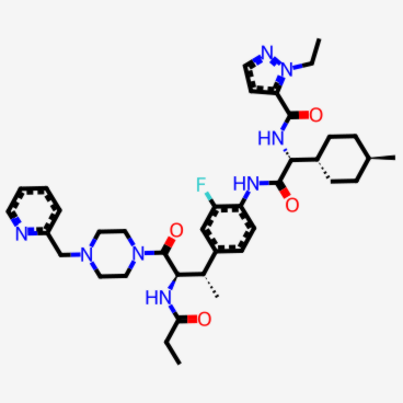 CCC(=O)N[C@@H](C(=O)N1CCN(Cc2ccccn2)CC1)[C@@H](C)c1ccc(NC(=O)[C@H](NC(=O)c2ccnn2CC)[C@H]2CC[C@H](C)CC2)c(F)c1